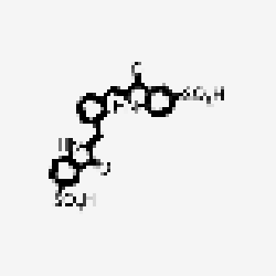 O=C1C(=Cc2cccc(C=C3Nc4ccc(S(=O)(=O)O)cc4C3=O)c2)Nc2ccc(S(=O)(=O)O)cc21